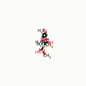 COCO[C@@H](CO)CSC(C)(C)[C@H](C(=O)O)N(C)S(=O)(=O)c1ccc(OC)cc1